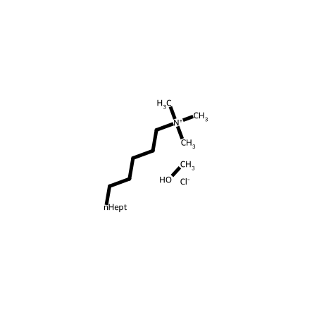 CCCCCCCCCCCC[N+](C)(C)C.CO.[Cl-]